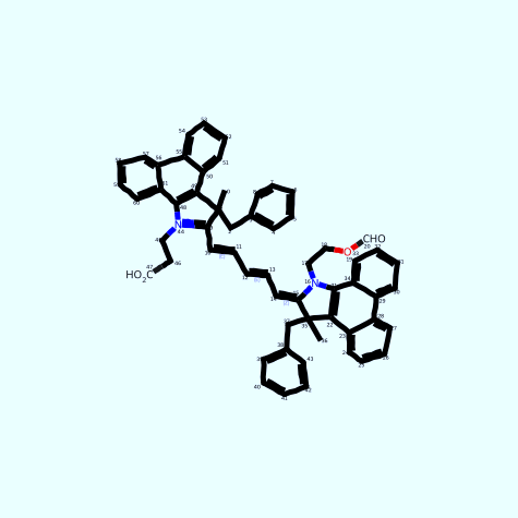 CC1(Cc2ccccc2)C(/C=C/C=C/C=C2\N(CCOC=O)c3c(c4ccccc4c4ccccc34)C2(C)Cc2ccccc2)=[N+](CCC(=O)O)c2c1c1ccccc1c1ccccc21